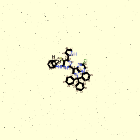 CCOC(=O)[C@@H]1C2CCC(CC2)[C@H]1Nc1nc(-c2cn(C(c3ccccc3)(c3ccccc3)c3ccccc3)c3ncc(Cl)nc23)nc(-c2ccc[nH]2)c1F